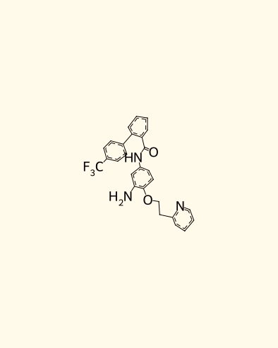 Nc1cc(NC(=O)c2ccccc2-c2ccc(C(F)(F)F)cc2)ccc1OCCc1ccccn1